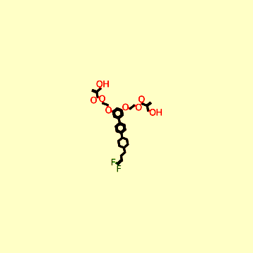 C=C(CO)C(=O)OCCOc1cc(OCCOC(=O)C(=C)CO)cc(-c2ccc(C3CCC(CCC=C(F)F)CC3)cc2)c1